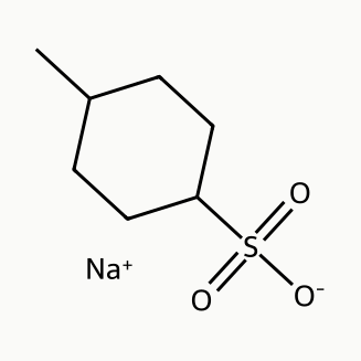 CC1CCC(S(=O)(=O)[O-])CC1.[Na+]